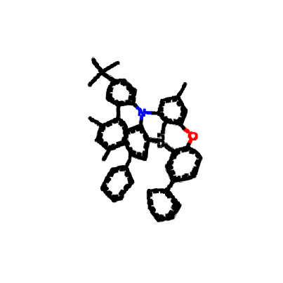 Cc1ccc(-c2cc(C(C)(C)C)ccc2N2c3ccc(-c4ccccc4)cc3B3c4cc(-c5ccccc5)ccc4Oc4cc(C)cc2c43)c(C)c1